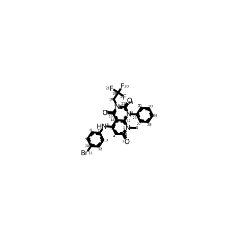 Cn1c(=O)cc(Nc2ccc(Br)cc2)c2c(=O)n(CC(F)(F)F)c(=O)n(-c3ccccc3)c21